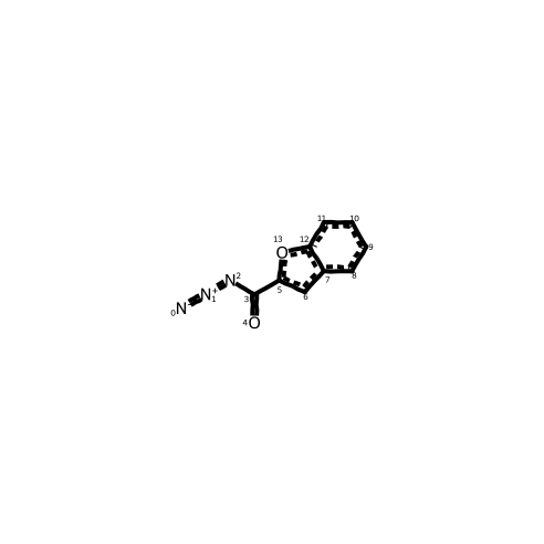 [N-]=[N+]=NC(=O)c1cc2ccccc2o1